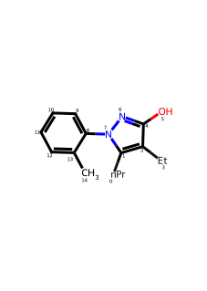 CCCc1c(CC)c(O)nn1-c1ccccc1C